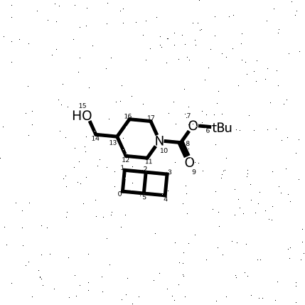 C1CC2CCC12.CC(C)(C)OC(=O)N1CCC(CO)CC1